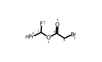 CCCC(F)OC(=O)CBr